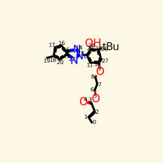 CC=CC(=O)OCCCOc1cc(-n2nc3ccc(C)cc3n2)c(O)c(C(C)(C)C)c1